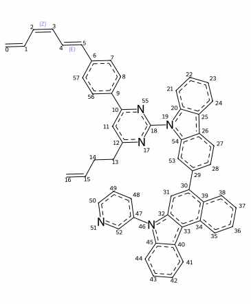 C=C/C=C\C=C\c1ccc(-c2cc(CCC=C)nc(-n3c4ccccc4c4ccc(-c5cc6c(c7ccccc57)c5ccccc5n6-c5cccnc5)cc43)n2)cc1